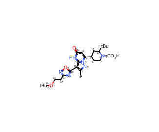 Cc1nn2c(C3CCN(C(=O)O)C(C(C)(C)C)C3)cc(=O)[nH]c2c1-c1nc(CCOC(C)(C)C)no1